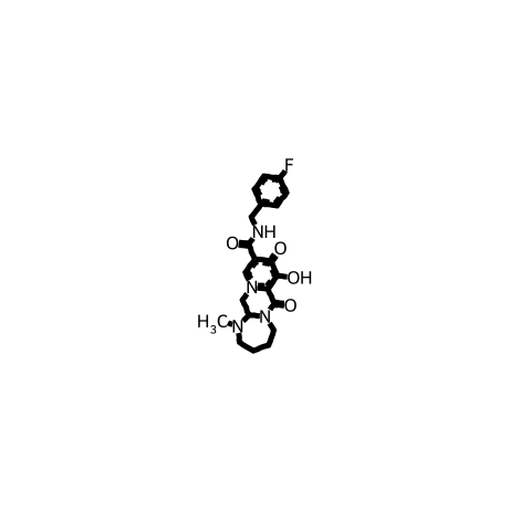 CN1CCCCN2C(=O)c3c(O)c(=O)c(C(=O)NCc4ccc(F)cc4)cn3CC12